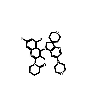 Cc1c(N2CCCCC2=O)nc2cc(F)cc(F)c2c1N1CC2(CCOCC2)c2ncc(N3CCOCC3)cc21